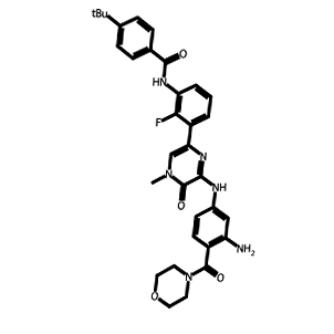 Cn1cc(-c2cccc(NC(=O)c3ccc(C(C)(C)C)cc3)c2F)nc(Nc2ccc(C(=O)N3CCOCC3)c(N)c2)c1=O